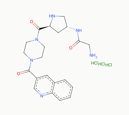 Cl.Cl.Cl.NCC(=O)N[C@H]1CN[C@H](C(=O)N2CCN(C(=O)c3cnc4ccccc4c3)CC2)C1